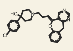 OC1(c2ccc(Cl)cc2)CCN(CCC=C2Oc3ccccc3Cc3ncncc32)CC1